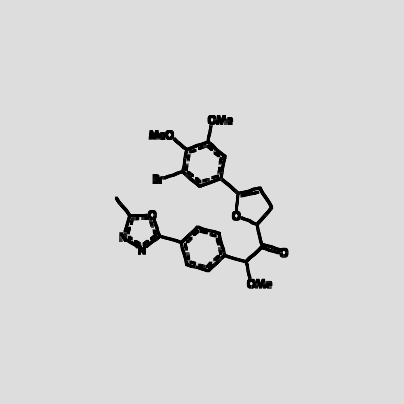 COc1cc(C2=CCC(C(=O)C(OC)c3ccc(-c4nnc(C)o4)cc3)O2)cc(Br)c1OC